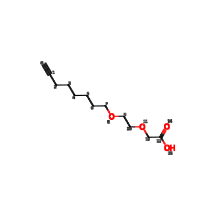 C#CCCCCCCOCCOCC(=O)O